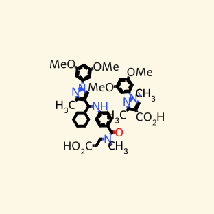 COc1cc(OC)cc(-n2cc(C(Nc3ccc(C(=O)N(C)CCC(=O)O)cc3)C3CCCCC3)c(C)n2)c1.COc1cc(OC)cc([N+]2(C)C=C(C(=O)O)C(C)=N2)c1